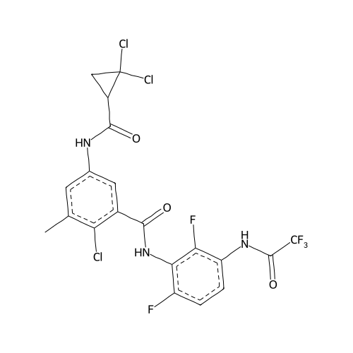 Cc1cc(NC(=O)C2CC2(Cl)Cl)cc(C(=O)Nc2c(F)ccc(NC(=O)C(F)(F)F)c2F)c1Cl